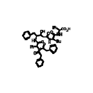 CC[C@H](C)[C@H](NC(=O)CC(O)C(Cc1ccccc1)NC(=O)[C@H](C(C)C)N(C(=O)Cc1ccccc1)C(=O)Cc1ccccc1)C(=O)N[C@H](C(=O)O)C(C)C